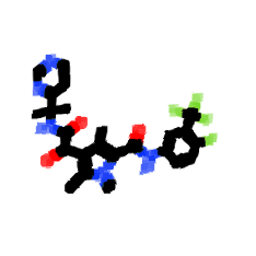 Cc1c(C(=O)C(=O)NC(C)(C)c2ccncn2)c(C)n(C)c1C(=O)Nc1ccc(F)c(C(F)(F)F)c1